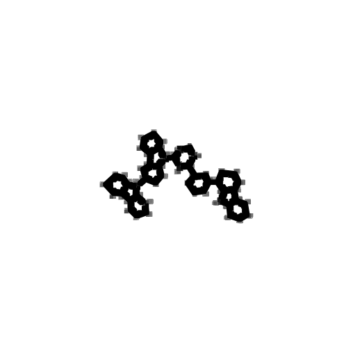 c1cc(-c2ncnc(-n3c4ccccc4c4cc(-n5c6ccccc6c6cccnc65)ccc43)n2)cc(-c2cccc3c2sc2ccccc23)c1